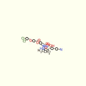 CC(C)(C)NC(=O)N1Cc2cc3c(cc2C[C@H]1C(=O)N[C@@H](Cc1ccc(-c2ccc(C#N)cc2)cc1)C(=O)O)OCC(c1ccc(OCc2ccc(Cl)c(Cl)c2)cc1)O3